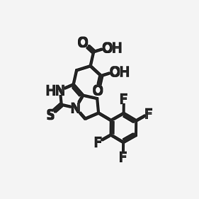 O=C(O)C(Cc1[nH]c(=S)n2c1CC(c1c(F)c(F)cc(F)c1F)C2)C(=O)O